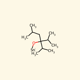 CC(C)CC([O][Sn])(C(C)C)C(C)C